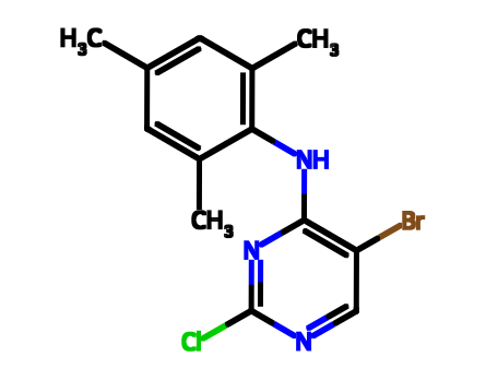 Cc1cc(C)c(Nc2nc(Cl)ncc2Br)c(C)c1